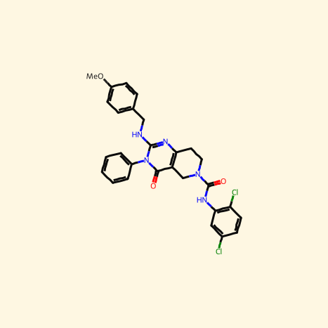 COc1ccc(CNc2nc3c(c(=O)n2-c2ccccc2)CN(C(=O)Nc2cc(Cl)ccc2Cl)CC3)cc1